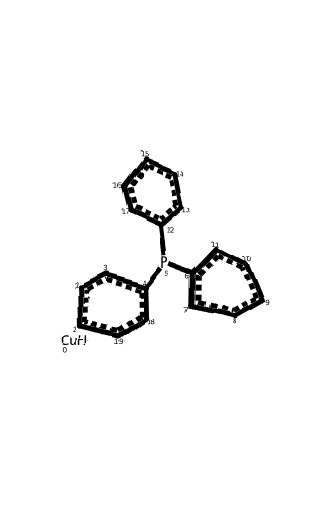 [CuH].c1ccc(P(c2ccccc2)c2ccccc2)cc1